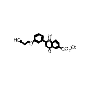 C#CCCOc1cccc(-c2cc(=O)c3cc(C(=O)OCC)ccc3[nH]2)c1